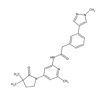 Cc1cc(N2CCC(C)(C)C2=O)cc(NC(=O)Cc2cccc(-c3cnn(C)c3)c2)n1